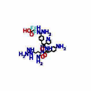 N=C(N)NCCCC(NC(=O)[C@H](Cc1ccc(N)cc1)NC(=O)[C@@H](Cc1ccc(C(=N)N)cc1)c1cccnc1)C(N)=O.O=C(O)C(F)(F)F